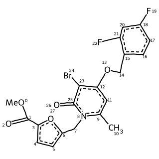 COC(=O)c1ccc(Cn2c(C)cc(OCc3ccc(F)cc3F)c(Br)c2=O)o1